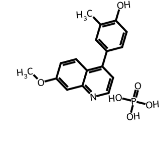 COc1ccc2c(-c3ccc(O)c(C)c3)ccnc2c1.O=P(O)(O)O